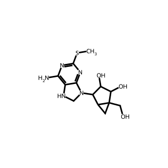 CSc1nc(N)c2c(n1)N(C1C(O)C(O)C3(CO)CC13)CN2